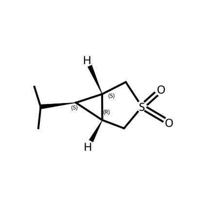 CC(C)[C@H]1[C@@H]2CS(=O)(=O)C[C@@H]21